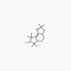 CC1C(C)(C)C2=C3OC(C)(C)CC3CCC2C1(C)C